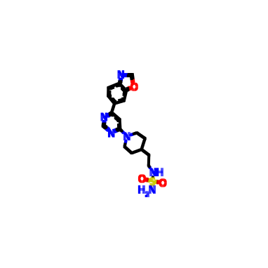 NS(=O)(=O)NCCC1CCN(c2cc(-c3ccc4ncoc4c3)ncn2)CC1